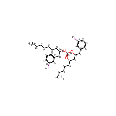 CCCCCCCC(Cc1cccc(I)c1)OC(=O)OC(CCCCCCC)Cc1cccc(I)c1